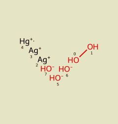 OO.[Ag+].[Ag+].[Hg+].[OH-].[OH-].[OH-]